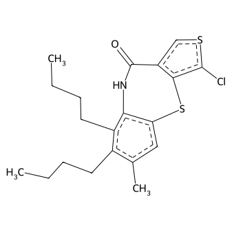 CCCCc1c(C)cc2c(c1CCCC)NC(=O)c1csc(Cl)c1S2